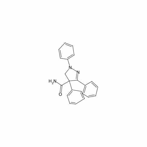 NC(=O)C1(c2ccccc2)CN(c2ccccc2)N=C1c1ccccc1